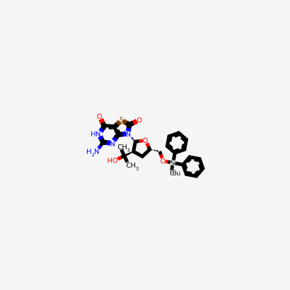 CC(C)(O)[C@@H]1C[C@@H](CO[Si](c2ccccc2)(c2ccccc2)C(C)(C)C)O[C@H]1n1c(=O)sc2c(=O)[nH]c(N)nc21